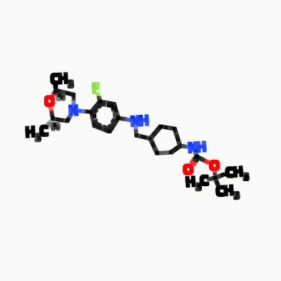 C[C@H]1CN(c2ccc(NCC3CCC(NC(=O)OC(C)(C)C)CC3)cc2F)C[C@H](C)O1